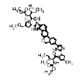 CC[C@H](C)C(NC(=O)OC)C(O)N1C[C@@H](COC)C[C@H]1c1nc2ccc3cc4c(cc3c2[nH]1)OCc1cc(-c2cnc([C@@H]3C[C@H](C)CN3C(=O)[C@@H](NC(=O)OC)[C@@H](C)CC)[nH]2)ccc1-4